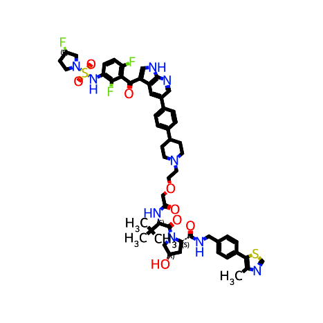 Cc1ncsc1-c1ccc(CNC(=O)[C@@H]2C[C@@H](O)CN2C(=O)[C@@H](NC(=O)COCCN2CCC(c3ccc(-c4cnc5[nH]cc(C(=O)c6c(F)ccc(NS(=O)(=O)N7CC[C@@H](F)C7)c6F)c5c4)cc3)CC2)C(C)(C)C)cc1